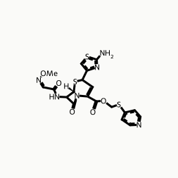 CO/N=C\C(=O)NC1C(=O)N2C(C(=O)OCSc3ccncc3)=CC(c3csc(N)n3)S[C@@H]12